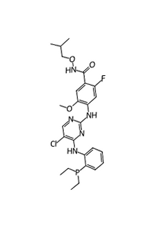 CCP(CC)c1ccccc1Nc1nc(Nc2cc(F)c(C(=O)NOCC(C)C)cc2OC)ncc1Cl